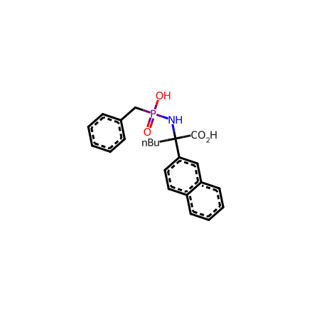 CCCCC(NP(=O)(O)Cc1ccccc1)(C(=O)O)c1ccc2ccccc2c1